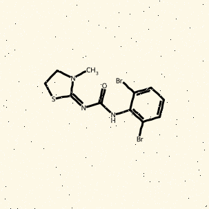 CN1CCSC1=NC(=O)Nc1c(Br)cccc1Br